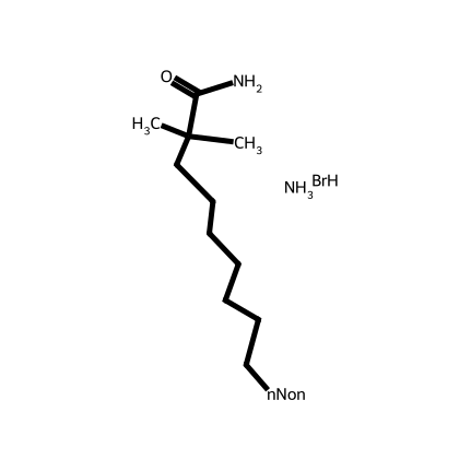 Br.CCCCCCCCCCCCCCCCC(C)(C)C(N)=O.N